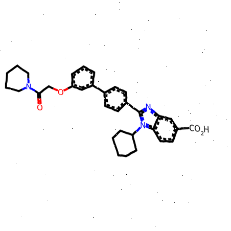 O=C(O)c1ccc2c(c1)nc(-c1ccc(-c3cccc(OCC(=O)N4CCCCC4)c3)cc1)n2C1CCCCC1